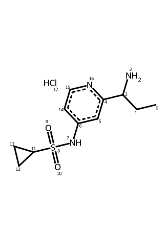 CCC(N)c1cc(NS(=O)(=O)C2CC2)ccn1.Cl